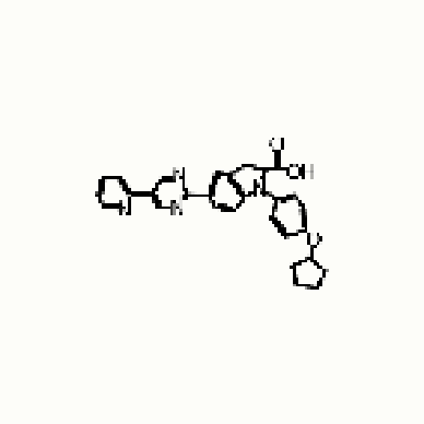 O=C(O)C1Cc2cc(-c3ncc(-c4ccccn4)cn3)ccc2N1c1ccc(OC2CCCC2)cc1